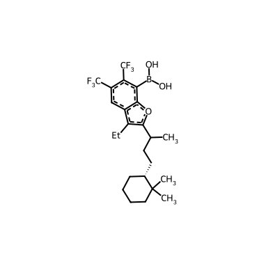 CCc1c(C(C)CC[C@H]2CCCCC2(C)C)oc2c(B(O)O)c(C(F)(F)F)c(C(F)(F)F)cc12